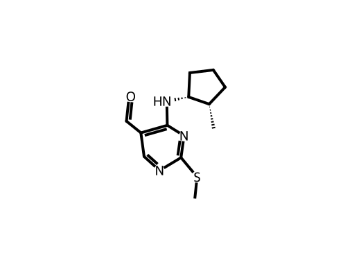 CSc1ncc(C=O)c(N[C@@H]2CCC[C@@H]2C)n1